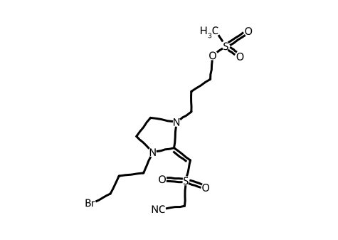 CS(=O)(=O)OCCCN1CCN(CCCBr)C1=CS(=O)(=O)CC#N